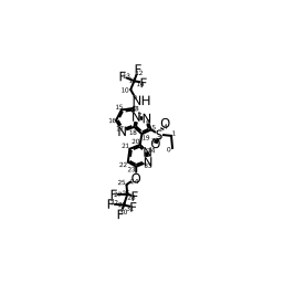 CCS(=O)(=O)c1nn2c(NCC(F)(F)F)ccnc2c1-c1ccc(OCC(F)(F)C(F)(F)F)nn1